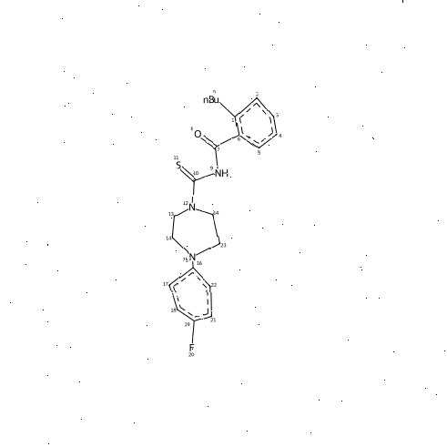 CCCCc1ccccc1C(=O)NC(=S)N1CCN(c2ccc(F)cc2)CC1